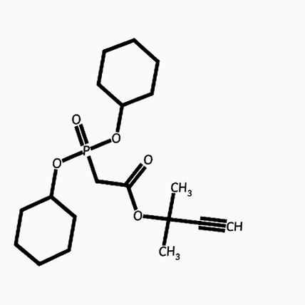 C#CC(C)(C)OC(=O)CP(=O)(OC1CCCCC1)OC1CCCCC1